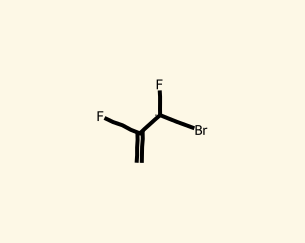 C=C(F)[C](F)Br